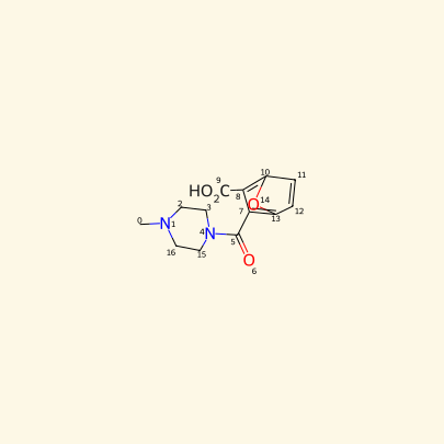 CN1CCN(C(=O)c2c(C(=O)O)c3ccc2o3)CC1